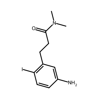 CN(C)C(=O)CCc1cc(N)ccc1I